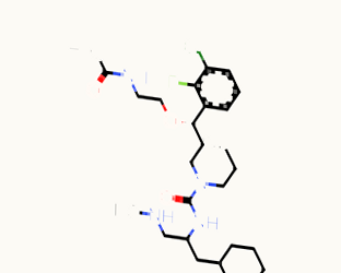 CNCC(CC1CCCCC1)NC(=O)N1CCC[C@@H]([C@H](OCCNC(C)=O)c2cccc(Cl)c2F)C1